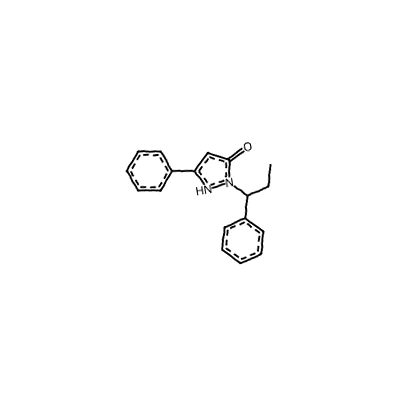 CCC(c1ccccc1)n1[nH]c(-c2ccccc2)cc1=O